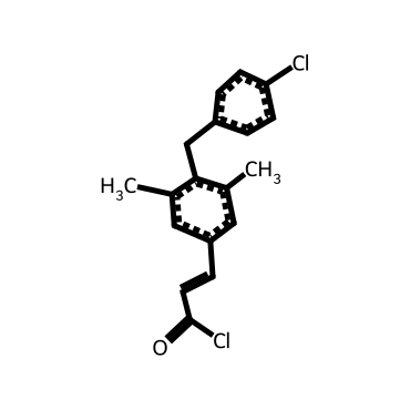 Cc1cc(C=CC(=O)Cl)cc(C)c1Cc1ccc(Cl)cc1